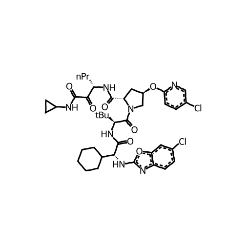 CCC[C@H](NC(=O)[C@@H]1C[C@@H](Oc2ccc(Cl)cn2)CN1C(=O)[C@@H](NC(=O)[C@H](Nc1nc2ccc(Cl)cc2o1)C1CCCCC1)C(C)(C)C)C(=O)C(=O)NC1CC1